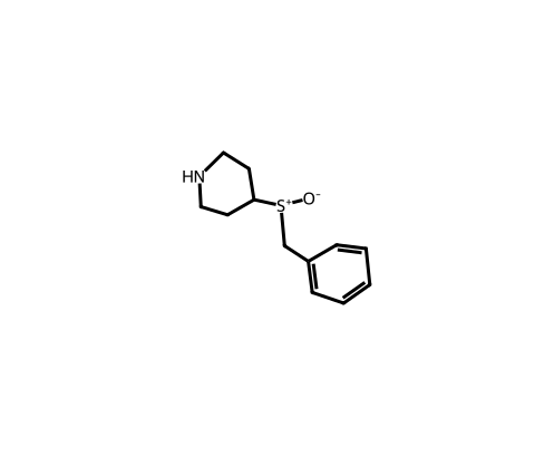 [O-][S+](Cc1ccccc1)C1CCNCC1